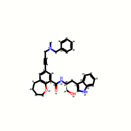 CN(CC#Cc1cc2c(c(C(=O)N[C@@H](CO)Cc3c[nH]c4ccccc34)c1)OCCCC2)Cc1ccccc1